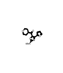 CNc1nc(-c2ccco2)c(C(=O)C2CCOCC2)s1